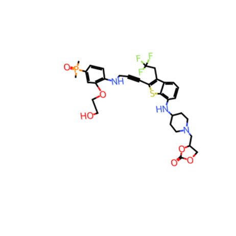 CP(C)(=O)c1ccc(NCC#Cc2sc3c(NC4CCN(CC5COC(=O)O5)CC4)cccc3c2CC(F)(F)F)c(OCCO)c1